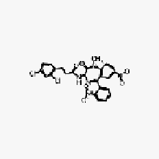 CN1C(=O)C(NC(=O)CCc2ccc(Cl)cc2Cl)N=C(c2ccccc2[N+](=O)[O-])c2cc([N+](=O)[O-])ccc21